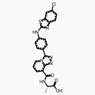 C[C@H](NC(=O)c1cccn2c(-c3ccc(Nc4nc5ccc(Cl)cc5s4)cc3)nnc12)C(=O)O